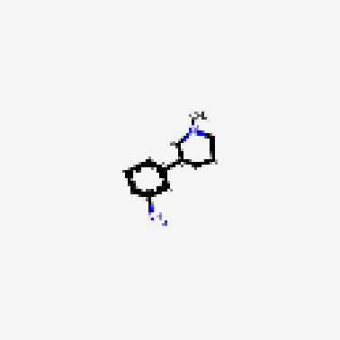 CN1CCCC(c2cccc(N)c2)C1